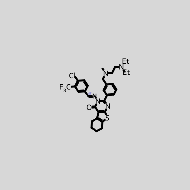 CCN(CC)CCN(C)Cc1cccc(-c2nc3sc4c(c3c(=O)n2/N=C/c2ccc(Cl)c(C(F)(F)F)c2)CCCC4)c1